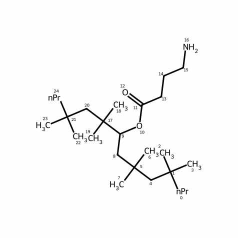 CCCC(C)(C)CC(C)(C)CC(OC(=O)CCCN)C(C)(C)CC(C)(C)CCC